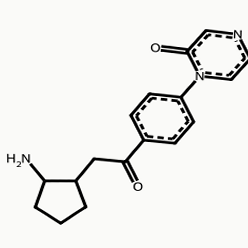 NC1CCCC1CC(=O)c1ccc(-n2ccncc2=O)cc1